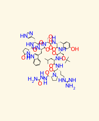 CC(C)C[C@@H](NC(=O)[C@H](COC(C)(C)C)NC(=O)[C@@H](Cc1ccc(O)cc1)NC(=O)[C@@H](CO)NC(=O)[C@@H](Cc1c[nH]c2ccccc12)NC(=O)[C@@H](Cc1c[nH]cn1)NC(=O)[C@H]1CCC(=O)N1)C(=O)N[C@H](CCCNC(=N)N)C(=O)N1CCC[C@@H]1C(=O)NNC(N)=O